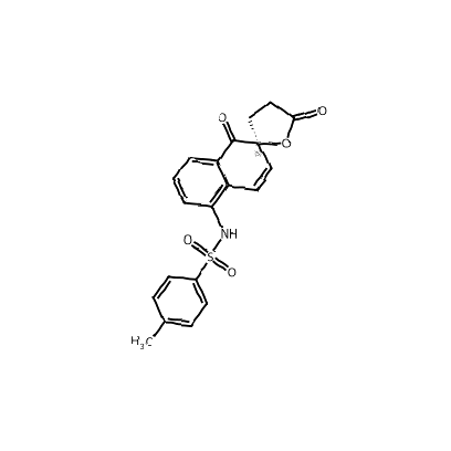 Cc1ccc(S(=O)(=O)Nc2cccc3c2C=C[C@@]2(CCC(=O)O2)C3=O)cc1